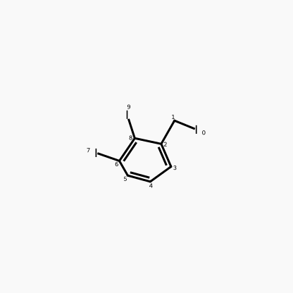 ICc1cccc(I)c1I